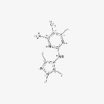 Cc1nn(C)c(C)c1Nc1nc(C)c(C(F)(F)F)c(N)n1